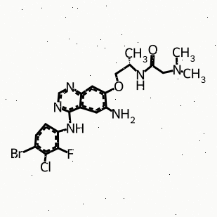 C[C@@H](COc1cc2ncnc(Nc3ccc(Br)c(Cl)c3F)c2cc1N)NC(=O)CN(C)C